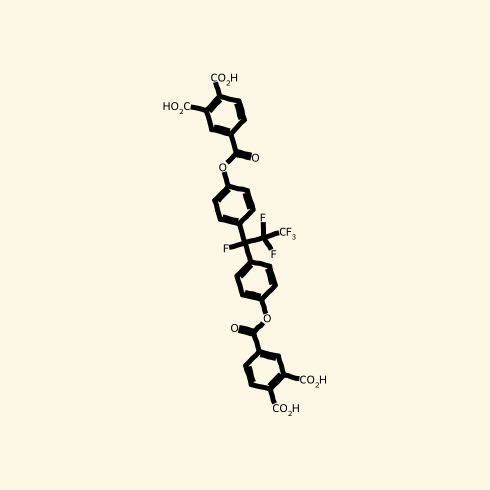 O=C(Oc1ccc(C(F)(c2ccc(OC(=O)c3ccc(C(=O)O)c(C(=O)O)c3)cc2)C(F)(F)C(F)(F)F)cc1)c1ccc(C(=O)O)c(C(=O)O)c1